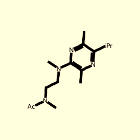 CC(=O)N(C)CCN(C)c1nc(C)c(C(C)C)nc1C